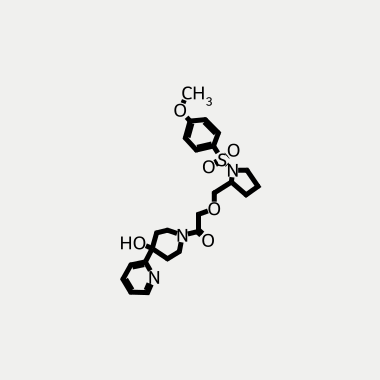 COc1ccc(S(=O)(=O)N2CCCC2COCC(=O)N2CCC(O)(c3ccccn3)CC2)cc1